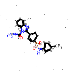 NC(=O)n1c(-c2ccc(S(=O)(=O)Nc3ccc(C(F)(F)F)cc3)cc2)nc2ccccc21